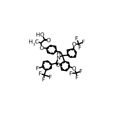 CC(Oc1ccc(CC(NC(=O)c2ccc(F)c(C(F)(F)F)c2)(c2cccc(OC(F)(F)F)c2)c2cccc(OC(F)(F)F)c2)cc1)C(=O)O